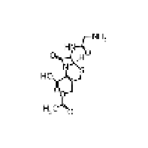 CC(=O)OCC1=C(C(=O)O)N2C(=O)[C@@H](NC(=O)CN)[C@H]2SC1